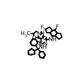 C[C@H]1Cn2ncc([S@@](=O)(=NC(=O)Nc3c4c(c(F)c5c3C[C@H](F)C5)CCC4)NC(c3ccccc3)(c3ccccc3)c3ccccc3)c2O1